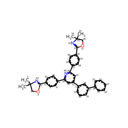 CC1(C)COC(c2ccc(-c3cc(-c4cccc(-c5ccccc5)c4)cc(-c4ccc(C5=NC(C)(C)CO5)cc4)n3)cc2)=N1